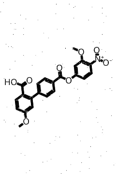 COc1ccc(C(=O)O)c(-c2ccc(C(=O)Oc3ccc([N+](=O)[O-])c(OC)c3)cc2)c1